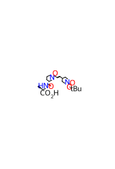 C#CC(CNC(=O)[C@@H]1CCCN(C(=O)/C=C/C2CCN(C(=O)OC(C)(C)C)CC2)C1)C(=O)O